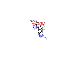 CC(C)(C)OC(=O)NC1c2cc(N)ccc2CC1O